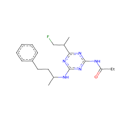 CCC(=O)Nc1nc(NC(C)CCc2ccccc2)nc(C(C)CF)n1